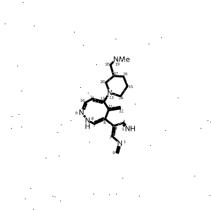 C=N/C=C(C=N)/C1=C/N/N=C\C=C(\N2CCCC(CNC)C2)C1=C